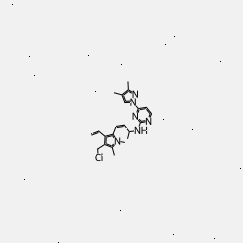 C=Cc1c(CCl)c(C)n(C)c1/C=C\C(C)Nc1nccc(-n2cc(C)c(C)n2)n1